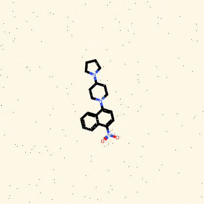 O=[N+]([O-])c1ccc(N2CCC(N3CCCC3)CC2)c2ccccc12